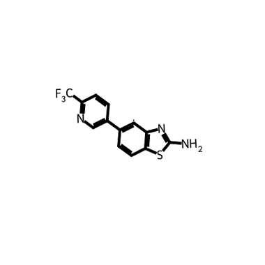 Nc1nc2[c]c(-c3ccc(C(F)(F)F)nc3)ccc2s1